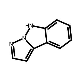 c1ccc2c(c1)[nH]n1nccc21